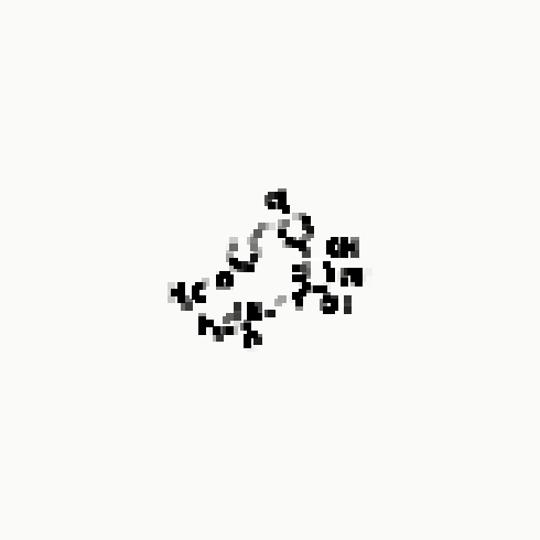 CCOc1ccc(Cc2cc([C@@H]3O[C@H](SCCNC(C)=O)[C@@H](O)[C@H](O)[C@H]3O)ccc2Cl)cc1